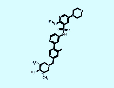 CC(C)Oc1ncc(N2CCOCC2)cc1S(=O)(=O)Nc1ccnc(-c2ccc(CN3C[C@@H](C)N(C)[C@@H](C)C3)cc2F)c1